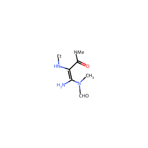 CCN/C(C(=O)NC)=C(\N)N(C)C=O